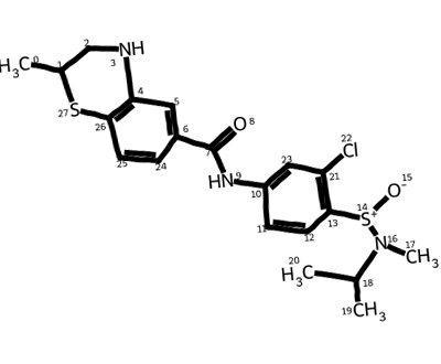 CC1CNc2cc(C(=O)Nc3ccc([S+]([O-])N(C)C(C)C)c(Cl)c3)ccc2S1